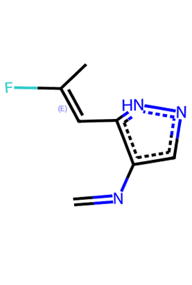 C=Nc1cn[nH]c1/C=C(\C)F